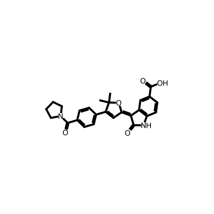 CC1(C)O/C(=C2/C(=O)Nc3ccc(C(=O)O)cc32)C=C1c1ccc(C(=O)N2CCCC2)cc1